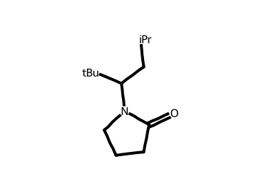 CC(C)CC(N1CCCC1=O)C(C)(C)C